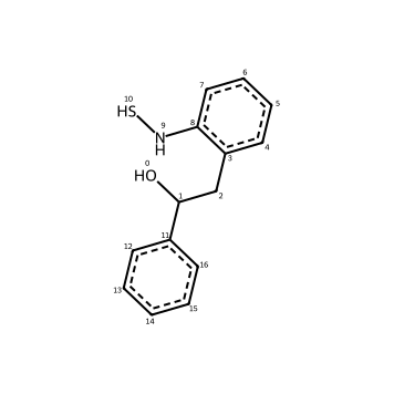 OC(Cc1ccccc1NS)c1ccccc1